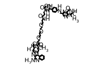 CCCCc1nc2c(N)nc3ccccc3c2n1CC(C)(C)NC(=O)CCOCCOCCOCCNC(=O)CC[C@H](NC(=O)c1ccc(NCc2cnc3nc(C)[nH]c(=O)c3n2)cc1)C(=O)O